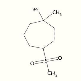 CC(C)C1(C)CCCC(S(C)(=O)=O)CC1